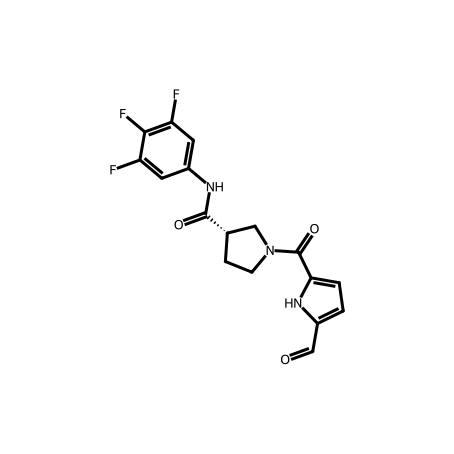 O=Cc1ccc(C(=O)N2CC[C@H](C(=O)Nc3cc(F)c(F)c(F)c3)C2)[nH]1